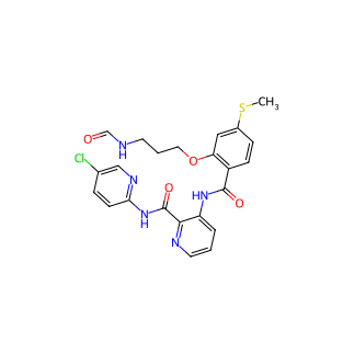 CSc1ccc(C(=O)Nc2cccnc2C(=O)Nc2ccc(Cl)cn2)c(OCCCNC=O)c1